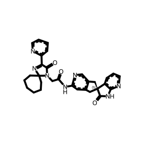 O=C(CN1C(=O)C(c2ccccn2)=NC12CCCCCC2)Nc1cc2c(cn1)C[C@]1(C2)C(=O)Nc2ncccc21